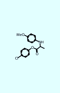 COc1ccc(NC(C)C(=O)Oc2ccc(Cl)cc2)cc1